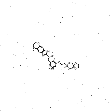 Cc1c(OCCC2(C)OCC3(CO2)OCCO3)ccnc1C[S+]([O-])c1nc2cc3c(cc2[nH]1)OCCO3.[NaH]